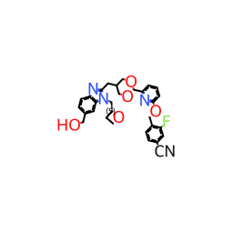 N#Cc1ccc(COc2cccc(C3OCC(Cc4nc5ccc(CO)cc5n4C[C@@H]4CCO4)CO3)n2)c(F)c1